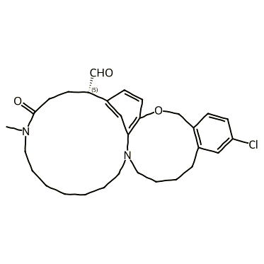 CN1CCCCCCCN2CCCCc3cc(Cl)ccc3COc3ccc(cc32)[C@@H](C=O)CCC1=O